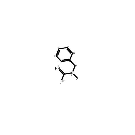 CC(C)C(=N)N(C)Cc1ccccc1